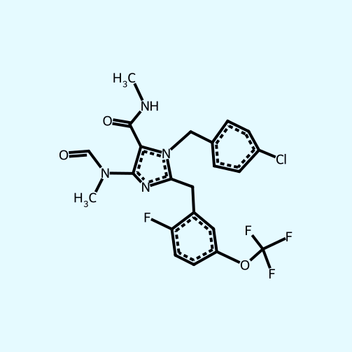 CNC(=O)c1c(N(C)C=O)nc(Cc2cc(OC(F)(F)F)ccc2F)n1Cc1ccc(Cl)cc1